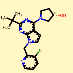 CC(C)(C)c1nc(N2CC[C@H](O)C2)c2ccn(Cc3ncccc3Cl)c2n1